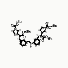 CC(C)(C)OC(=O)[C@@H](Cc1cccc(CNc2cccc(C[C@H](C(=O)OC(C)(C)C)[C@H]3CCN(C(=O)OC(C)(C)C)C3)c2)c1)[C@H]1CCN(C(=O)OC(C)(C)C)C1